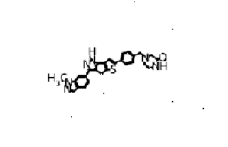 Cn1ncc2ccc(-c3n[nH]c4c3Cc3sc(-c5ccc(CN6CCNC(=O)C6)cc5)cc3-4)cc21